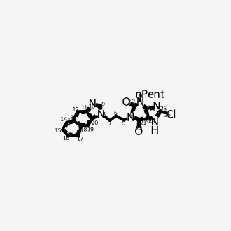 CCCCCn1c(=O)n(CCCn2cnc3cc4ccccc4cc32)c(=O)c2[nH]c(Cl)nc21